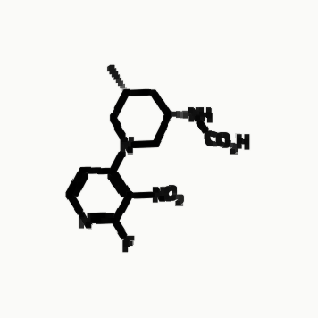 C[C@@H]1C[C@H](NC(=O)O)CN(c2ccnc(F)c2[N+](=O)[O-])C1